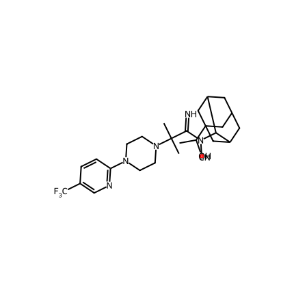 CC(O)C12CC3CC(C1)C(N(C#N)C(=N)C(C)(C)N1CCN(c4ccc(C(F)(F)F)cn4)CC1)C(C3)C2